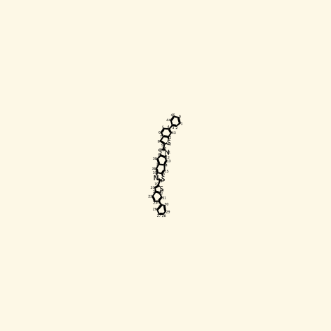 c1ccc(-c2ccc3cc(-c4nc5cc6cc7sc(-c8cc9ccc(-c%10ccccc%10)cc9s8)nc7cc6cc5s4)sc3c2)cc1